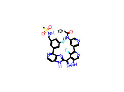 CC(C)(C)C(=O)Nc1cncc(-c2ncc3[nH]nc(-c4nc5c(-c6cc(F)cc(CNS(C)(=O)=O)c6)nccc5[nH]4)c3c2F)c1